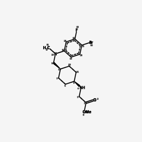 COC(=O)CN[C@H]1CC[C@@H](CN(C)c2ccc(Br)c(F)c2)CC1